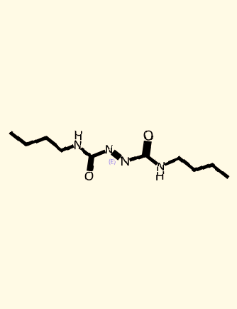 CCCCNC(=O)/N=N/C(=O)NCCCC